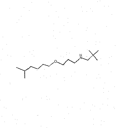 CC(C)CCCCOCCCNCC(C)(C)C